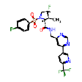 CC1[C@@H](F)CN(S(=O)(=O)c2ccc(F)cc2)[C@H]1C(=O)NCc1cc(-c2ccc(C(F)(F)F)nc2)ncn1